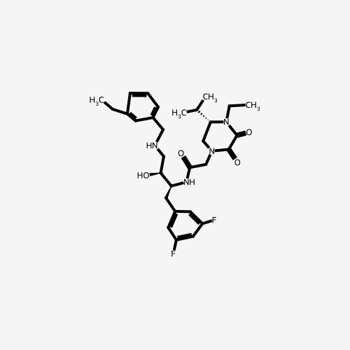 CCc1cccc(CNC[C@H](O)[C@H](Cc2cc(F)cc(F)c2)NC(=O)CN2C[C@H](C(C)C)N(CC)C(=O)C2=O)c1